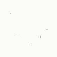 CC(C)(C)C(CO)c1ccncc1